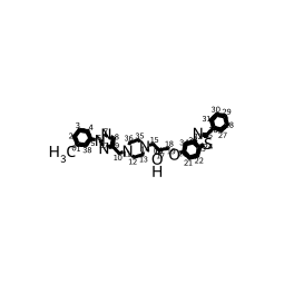 Cc1cccc(-n2ncc(CN3CCN(C[C@@H](O)COc4ccc5sc(-c6ccccc6)nc5c4)CC3)n2)c1